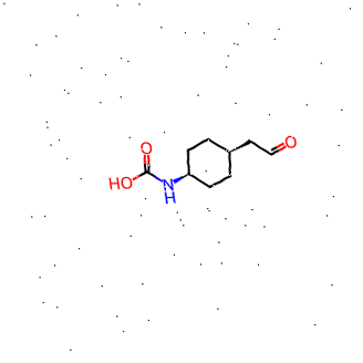 O=CC[C@H]1CC[C@@H](NC(=O)O)CC1